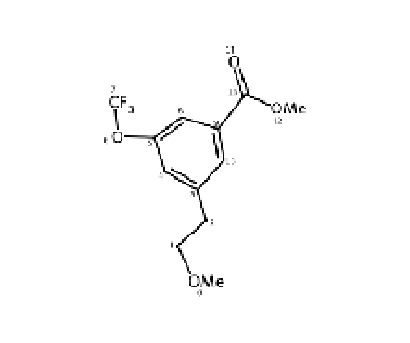 COCCc1cc(OC(F)(F)F)cc(C(=O)OC)c1